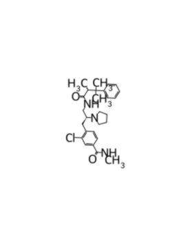 CNC(=O)c1ccc(C[C@@H](CNC(=O)[C@@H](C)C(C)(C)c2ccccc2)N2CCCC2)c(Cl)c1